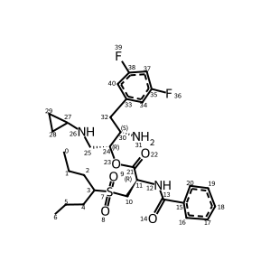 CCCC(CCC)S(=O)(=O)C[C@H](NC(=O)c1ccccc1)C(=O)O[C@H](CNC1CC1)[C@@H](N)Cc1cc(F)cc(F)c1